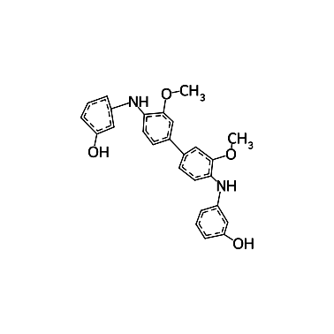 COc1cc(-c2ccc(Nc3cccc(O)c3)c(OC)c2)ccc1Nc1cccc(O)c1